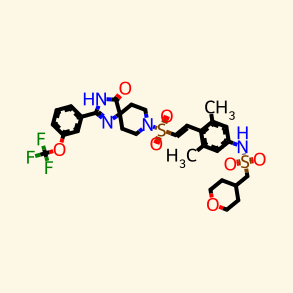 Cc1cc(NS(=O)(=O)CC2CCOCC2)cc(C)c1C=CS(=O)(=O)N1CCC2(CC1)N=C(c1cccc(OC(F)(F)F)c1)NC2=O